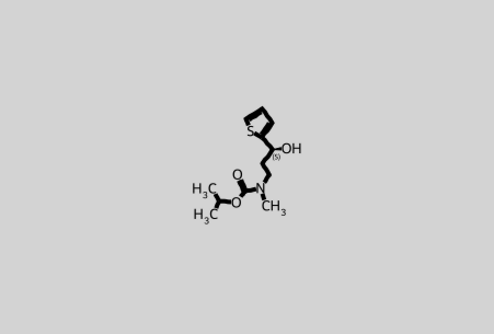 CC(C)OC(=O)N(C)CC[C@H](O)c1cccs1